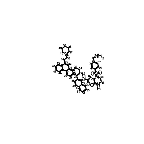 NCc1ccc(S(=O)(=O)N2CCNC(=O)[C@H]2CC(=O)Nc2c([C@@H]3CCCc4c3ccc3c4cc(CCN4CCCCC4)c4ccccc43)ccc3ccccc23)cc1